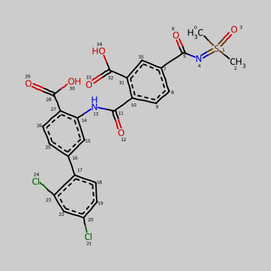 CS(C)(=O)=NC(=O)c1ccc(C(=O)Nc2cc(-c3ccc(Cl)cc3Cl)ccc2C(=O)O)c(C(=O)O)c1